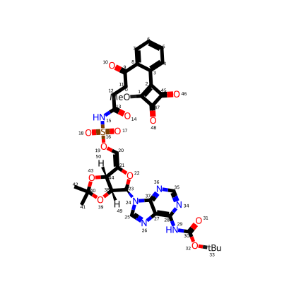 COc1c(-c2ccccc2C(=O)CCC(=O)NS(=O)(=O)O/C=C2/O[C@@H](n3cnc4c(NC(=O)OC(C)(C)C)ncnc43)[C@@H]3OC(C)(C)O[C@H]23)c(=O)c1=O